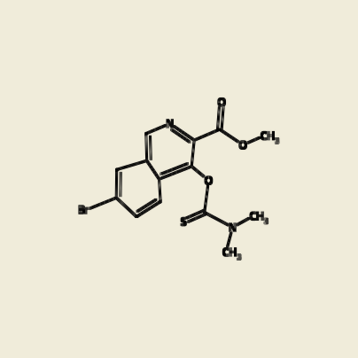 COC(=O)c1ncc2cc(Br)ccc2c1OC(=S)N(C)C